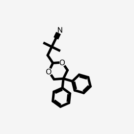 CC(C)(C#N)CC1OCC(c2ccccc2)(c2ccccc2)CO1